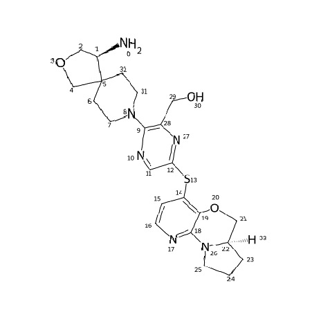 N[C@@H]1COCC12CCN(c1ncc(Sc3ccnc4c3OC[C@H]3CCCN43)nc1CO)CC2